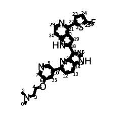 CN(C)CCOc1cncc(-c2ccc3[nH]nc(-c4cc5c(-c6ccc(F)s6)nccc5[nH]4)c3n2)c1